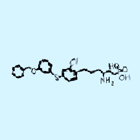 NC(CCCc1ccc(Sc2cccc(OCc3ccccc3)c2)cc1Cl)CCP(=O)(O)O